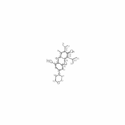 Cc1c2nc3c(O)cc(N4CCOCC4)cc3oc-2c(C(C)C)c(=O)c1C(C)C